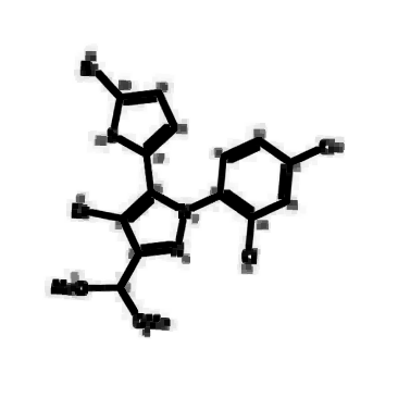 CCc1c(C(OC)OC)nn(-c2ccc(Cl)cc2Cl)c1-c1ccc(Br)s1